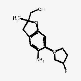 CC1(CO)Cc2cc(N)c(N3CCC(F)C3)cc2O1